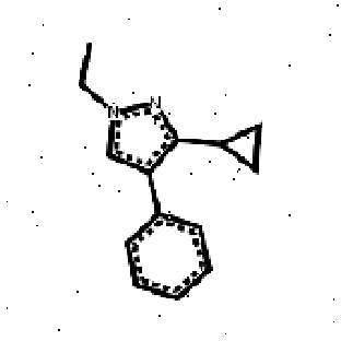 CCn1cc(-c2ccccc2)c(C2CC2)n1